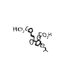 CC(C)=CCOc1ccc(C(=O)/C=C/c2cccc(C(=O)O)c2)c(OCC(=O)O)c1